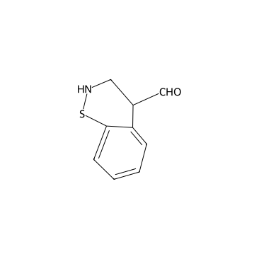 O=CC1CNSc2ccccc21